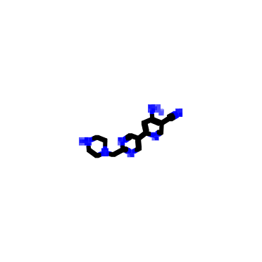 N#Cc1cnc(-c2cnc(CN3CCNCC3)nc2)cc1N